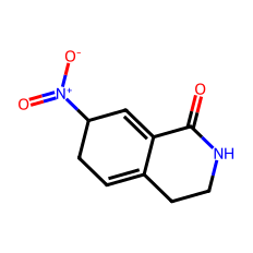 O=C1NCCC2=CCC([N+](=O)[O-])C=C12